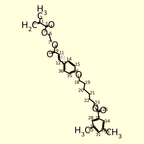 C=C(C)C(=O)OCCOC(=O)/C=C/c1ccc(OCCCCCCOC(=O)c2cc(C)cc(C)c2)cc1